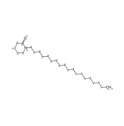 CCCCCCCCCCCCCCCCCCCN1CCCCC1=O